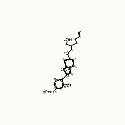 C=CCCC(CO)COc1ccc2cc(-c3ccc(CCCCC)cc3CC)oc2c1